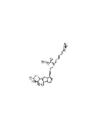 CC(C)(C)OC(=O)N(CCC#Cc1cccc2c1CN(C1CCC(=O)NC1=O)C2=O)CCCCCCN=[N+]=[N-]